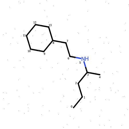 CCCC(C)NCCC1CCCCC1